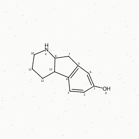 Oc1ccc2c(c1)CC1NCCCC21